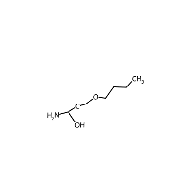 CCCCOCCC(N)O